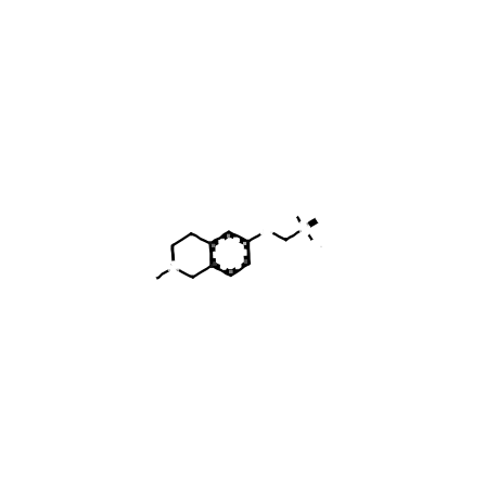 CN1CCc2cc(OCP(=O)(O)O)ccc2C1